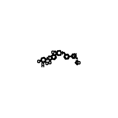 O=C1CC[C@H](N2Cc3c(ccc4c3OCC43CCN(Cc4cccc(-c5cnn(C[C@H]6CCO6)c5)c4)CC3)C2=O)C(=O)N1